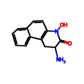 NC1Cc2c(ccc3ccccc23)N(O)C1=O